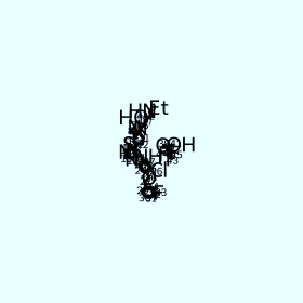 CCNC[C@@H](O)Cn1ncc2c1CCc1c-2sc2ncnc(Nc3ccc(OCc4cccc(F)c4)c(Cl)c3)c12.O=C(O)C(F)(F)F